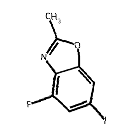 Cc1nc2c(F)cc(I)cc2o1